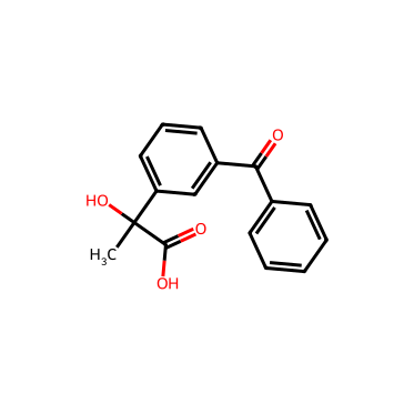 CC(O)(C(=O)O)c1cccc(C(=O)c2ccccc2)c1